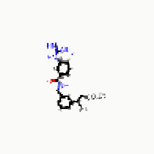 CCOC(=O)CC(CC)c1cccc(CNC(=O)c2cccc(NC(=N)N)c2)c1